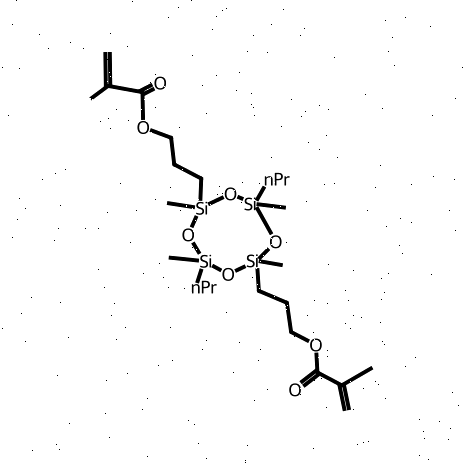 C=C(C)C(=O)OCCC[Si]1(C)O[Si](C)(CCC)O[Si](C)(CCCOC(=O)C(=C)C)O[Si](C)(CCC)O1